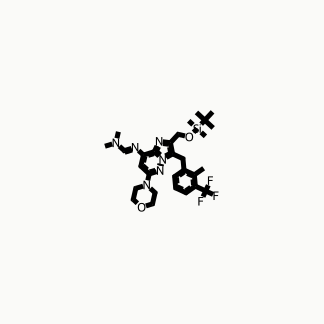 Cc1c(Cc2c(CO[Si](C)(C)C(C)(C)C)nc3c(/N=C/N(C)C)cc(N4CCOCC4)nn23)cccc1C(F)(F)F